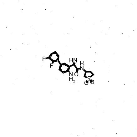 N=C(C(=O)NC1CCS(=O)(=O)C1)c1cc(-c2cccc(F)c2F)ccc1N